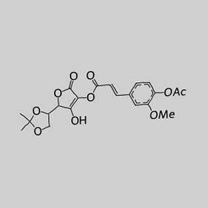 COc1cc(C=CC(=O)OC2=C(O)C(C3COC(C)(C)O3)OC2=O)ccc1OC(C)=O